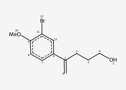 C=C(CCCO)c1ccc(OC)c(Br)c1